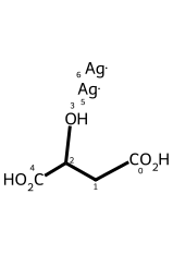 O=C(O)CC(O)C(=O)O.[Ag].[Ag]